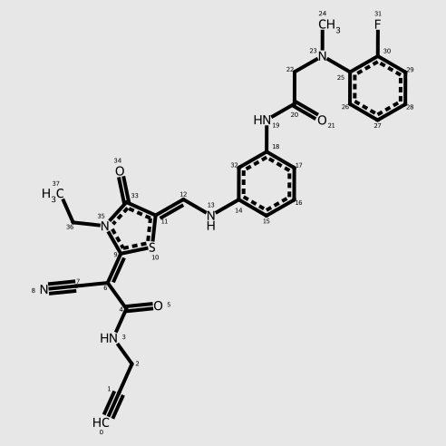 C#CCNC(=O)C(C#N)=c1sc(=CNc2cccc(NC(=O)CN(C)c3ccccc3F)c2)c(=O)n1CC